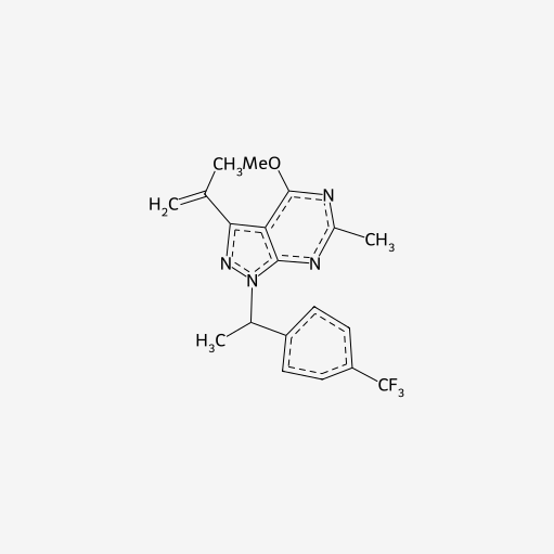 C=C(C)c1nn(C(C)c2ccc(C(F)(F)F)cc2)c2nc(C)nc(OC)c12